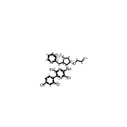 CCc1nc(-c2ccc(Cl)cc2Cl)c(CC)nc1N[C@@H]1C(Cc2ccccn2)N(C(=O)O)C[C@@H]1OCCF